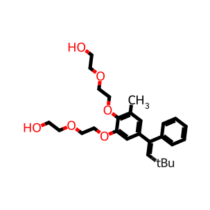 Cc1cc(/C(=C/C(C)(C)C)c2ccccc2)cc(OCCOCCO)c1OCCOCCO